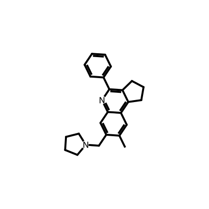 Cc1cc2c3c(c(-c4ccccc4)nc2cc1CN1CCCC1)CCC3